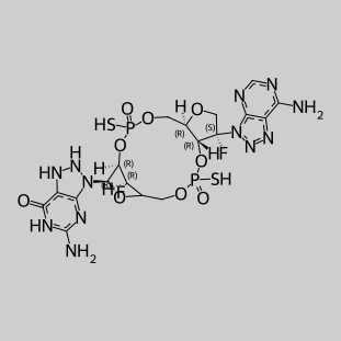 Nc1nc2c(c(=O)[nH]1)NNN2[C@@H]1OC2COP(=O)(S)O[C@@H]3[C@@H](COP(=O)(S)O[C@H]1[C@@H]2F)OC[C@@]3(F)n1nnc2c(N)ncnc21